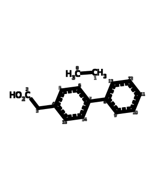 CC.O=C(O)Cc1ccc(-c2ccccc2)cc1